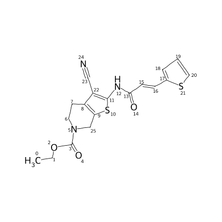 CCOC(=O)N1CCc2c(sc(NC(=O)C=Cc3cccs3)c2C#N)C1